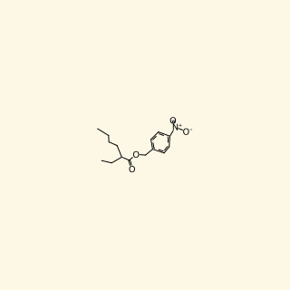 CCCCC(CC)C(=O)OCc1ccc([N+](=O)[O-])cc1